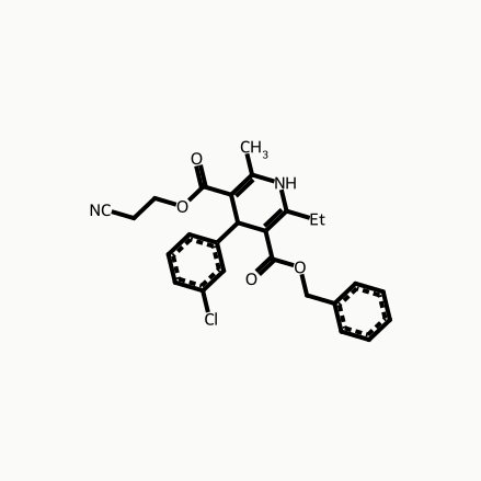 CCC1=C(C(=O)OCc2ccccc2)C(c2cccc(Cl)c2)C(C(=O)OCCC#N)=C(C)N1